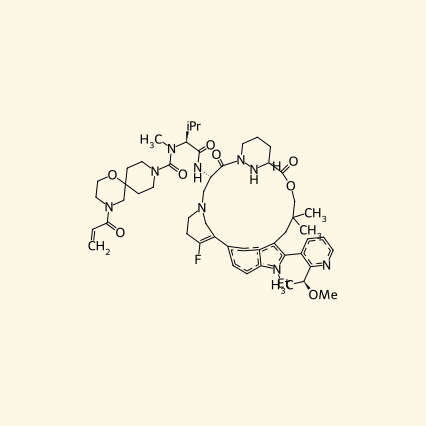 C=CC(=O)N1CCOC2(CCN(C(=O)N(C)[C@H](C(=O)N[C@H]3CN4CCC(F)=C(C4)c4ccc5c(c4)c(c(-c4cccnc4[C@H](C)OC)n5CC)CC(C)(C)COC(=O)[C@@H]4CCCN(N4)C3=O)C(C)C)CC2)C1